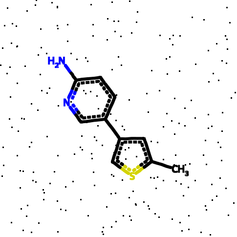 Cc1cc(-c2ccc(N)nc2)cs1